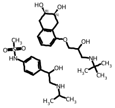 CC(C)(C)NCC(O)COc1cccc2c1C[C@H](O)[C@H](O)C2.CC(C)NCC(O)c1ccc(NS(C)(=O)=O)cc1